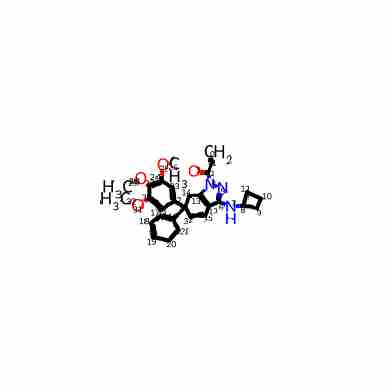 C=CC(=O)n1nc(NC2CCC2)c2c1CC(c1ccccc1)(c1cc(OC)c(OC)c(OC)c1)C=C2